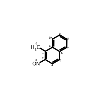 Cc1c(N=O)ccc2ccccc12